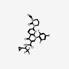 N#CN1CCCN(c2ccc3c(=O)c(C(=O)NC(C4CC4)C(F)(F)F)cn(-c4c(F)cc(F)cc4F)c3n2)C1=O